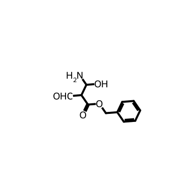 NC(O)C(C=O)C(=O)OCc1ccccc1